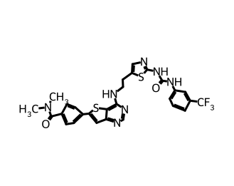 CN(C)C(=O)c1ccc(-c2cc3ncnc(NCCc4cnc(NC(=O)Nc5cccc(C(F)(F)F)c5)s4)c3s2)cc1